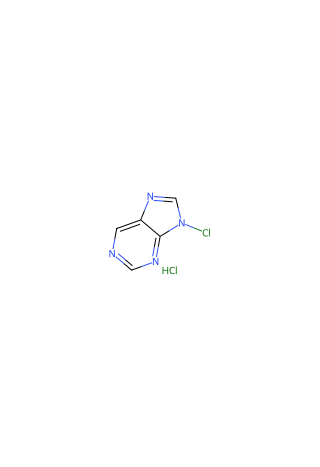 Cl.Cln1cnc2cncnc21